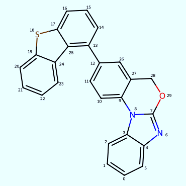 c1ccc2c(c1)nc1n2-c2ccc(-c3cccc4sc5ccccc5c34)cc2CO1